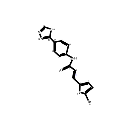 O=C(/C=C/c1ccc(Br)s1)Nc1ccc(-c2nnco2)cc1